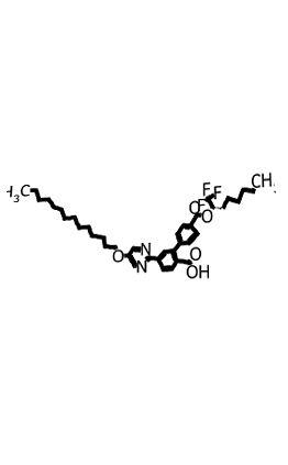 CCCCCCCCCCCCCCOc1cnc(-c2ccc(C(=O)O)c(-c3ccc(C(=O)O[C@@H](CCCCCC)C(F)(F)F)cc3)c2)nc1